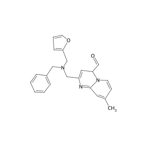 CC1=CC2=NC(CN(Cc3ccccc3)Cc3ccco3)=CC(C=O)N2C=C1